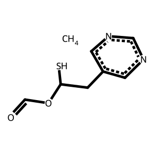 C.O=COC(S)Cc1cncnc1